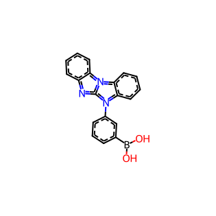 OB(O)c1cccc(-n2c3ccccc3n3c4ccccc4nc23)c1